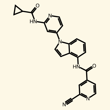 N#Cc1cc(C(=O)Nc2cccc3c2ccn3-c2ccnc(NC(=O)C3CC3)c2)ccn1